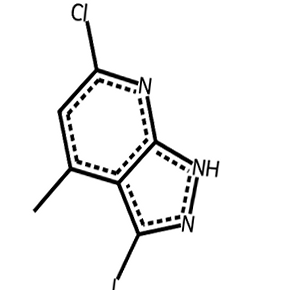 Cc1cc(Cl)nc2[nH]nc(I)c12